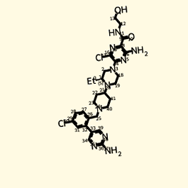 CC[C@H]1CN(c2nc(N)c(C(=O)NCCO)nc2Cl)CCN1C1CCN(Cc2ccc(Cl)cc2-c2cnc(N)nc2)CC1